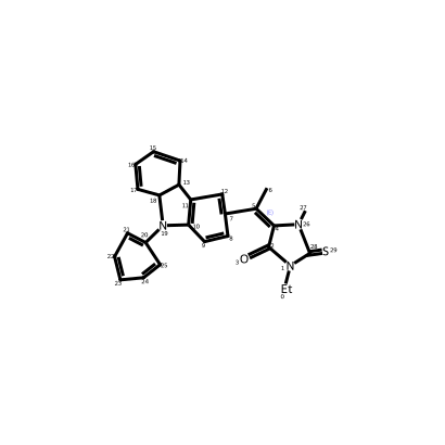 CCN1C(=O)/C(=C(/C)c2ccc3c(c2)C2C=CC=CC2N3c2ccccc2)N(C)C1=S